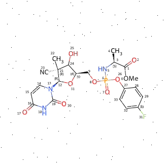 COC(=O)[C@H](C)NP(=O)(OC[C@H]1O[C@@H](n2ccc(=O)[nH]c2=O)[C@](C)(C#N)C1O)Oc1ccc(F)cc1